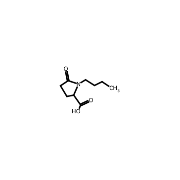 CCCCN1C(=O)CCC1C(=O)O